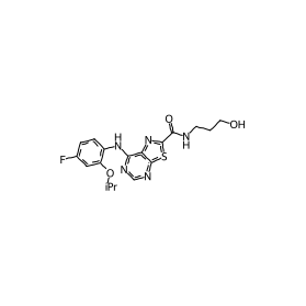 CC(C)Oc1cc(F)ccc1Nc1ncnc2sc(C(=O)NCCCO)nc12